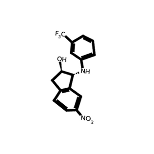 O=[N+]([O-])c1ccc2c(c1)[C@@H](Nc1cccc(C(F)(F)F)c1)[C@H](O)C2